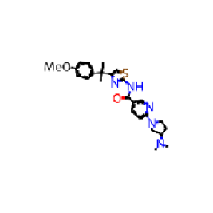 COc1ccc(C(C)(C)c2csc(NC(=O)c3ccc(N4CCC(N(C)C)C4)nc3)n2)cc1